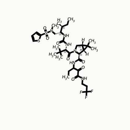 CCC(NC(=O)[C@@H]1[C@@H]2[C@H](CN1C(=O)[C@@H](NC(=O)N[C@H](CN(C)S(=O)(=O)c1cccs1)[C@@H](C)CC)C(C)(C)C)C2(C)C)C(=O)C(=O)NCCC(F)(F)F